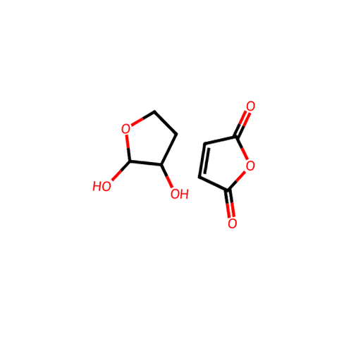 O=C1C=CC(=O)O1.OC1CCOC1O